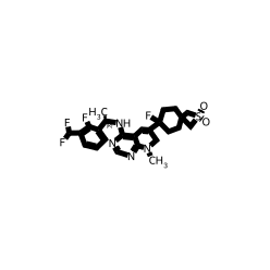 C[C@@H](Nc1ncnc2c1C=C(C1(F)CCC3(CC1)CS(=O)(=O)C3)CN2C)c1cccc(C(F)F)c1F